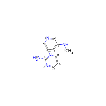 CNc1cccnc1.Nc1ncccn1